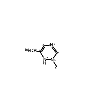 COC1=CN=[C]N(C)N1